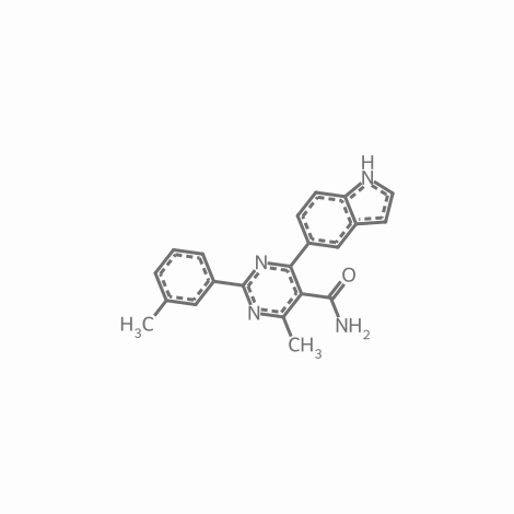 Cc1cccc(-c2nc(C)c(C(N)=O)c(-c3ccc4[nH]ccc4c3)n2)c1